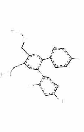 COCc1nc(-c2ccc(Cl)cc2)c(-c2ccc(Cl)cc2Cl)cc1CN